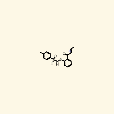 C/C=C/C(=O)c1ccccc1SNS(=O)(=O)c1ccc(C)cc1